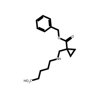 O=C(O)CCCCNCC1(C(=O)OCc2ccccc2)CC1